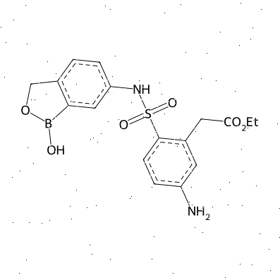 CCOC(=O)Cc1cc(N)ccc1S(=O)(=O)Nc1ccc2c(c1)B(O)OC2